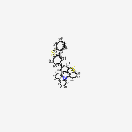 C1=CC2c3ccccc3N(c3cccc4sc5cc(-c6ccc7sc8ccccc8c7c6)ccc5c34)C2C=C1